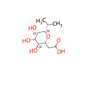 CC(C)[C@@H]1OC(CC(=O)O)[C@@H](O)C(O)[C@@H]1O